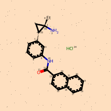 CC[C@]1(N)C[C@H]1c1cccc(NC(=O)c2ccc3ccccc3c2)c1.Cl